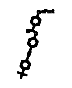 CCCCCOc1ccc(C(=O)Oc2ccc(C#Cc3ccc([Si](C)(C)C)cc3)cc2)cc1